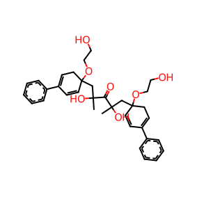 CC(O)(CC1(OCCO)C=CC(c2ccccc2)=CC1)C(=O)C(C)(O)CC1(OCCO)C=CC(c2ccccc2)=CC1